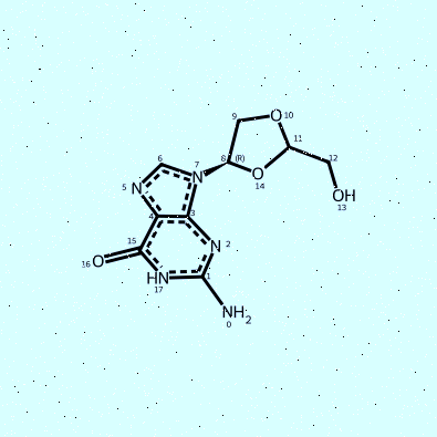 Nc1nc2c(ncn2[C@H]2COC(CO)O2)c(=O)[nH]1